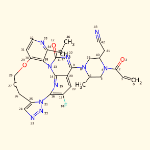 C=CC(=O)N1CC(C)N(c2nc(=O)n3c4nc(c(F)cc24)-n2nncc2CCCOc2ccnc(C(C)C)c2-3)CC1CC#N